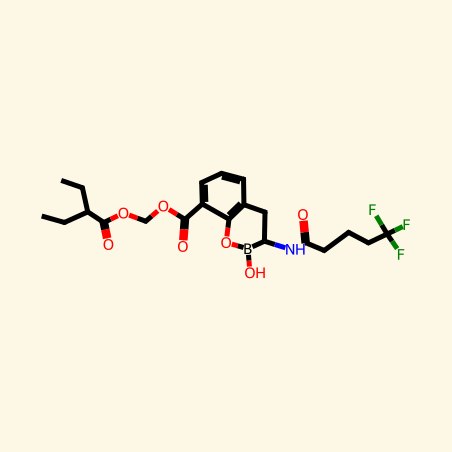 CCC(CC)C(=O)OCOC(=O)c1cccc2c1OB(O)C(NC(=O)CCCC(F)(F)F)C2